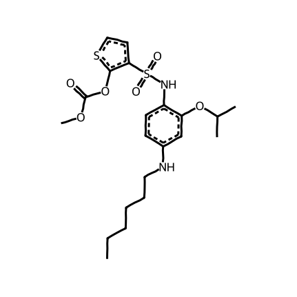 CCCCCCNc1ccc(NS(=O)(=O)c2ccsc2OC(=O)OC)c(OC(C)C)c1